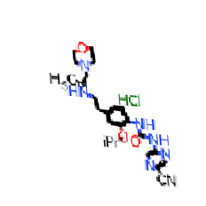 CC(C)Oc1cc(CCN[C@@H](C)CN2CCOCC2)ccc1NC(=O)Nc1cnc(C#N)cn1.Cl